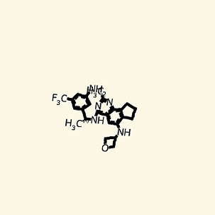 Cc1nc(N[C@H](C)c2cc(N)cc(C(F)(F)F)c2)c2cc(NC3COC3)c3c(c2n1)CCC3